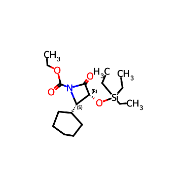 CCOC(=O)N1C(=O)[C@H](O[Si](CC)(CC)CC)[C@@H]1C1CCCCC1